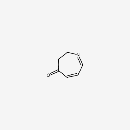 O=C1C=CC=NCC1